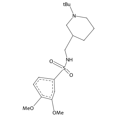 COc1ccc(S(=O)(=O)NCC2CCCN(C(C)(C)C)C2)cc1OC